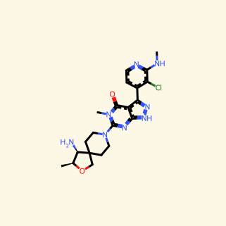 CNc1nccc(-c2n[nH]c3nc(N4CCC5(CC4)CO[C@@H](C)[C@H]5N)n(C)c(=O)c23)c1Cl